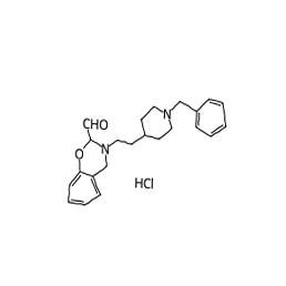 Cl.O=CC1Oc2ccccc2CN1CCC1CCN(Cc2ccccc2)CC1